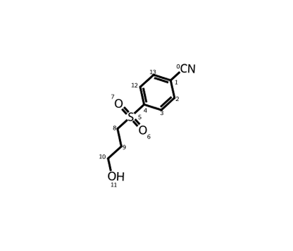 N#Cc1ccc(S(=O)(=O)CCCO)cc1